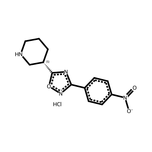 Cl.O=[N+]([O-])c1ccc(-c2noc([C@H]3CCCNC3)n2)cc1